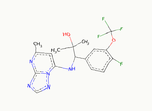 Cc1cc(NC(c2ccc(F)c(OC(F)(F)F)c2)C(C)(C)O)n2ncnc2n1